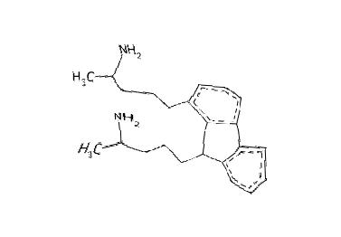 CC(N)CCCc1cccc2c1C(CCCC(C)N)c1ccccc1-2